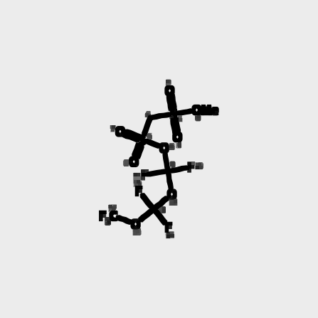 COS(=O)(=O)CS(=O)(=O)OC(F)(F)OC(F)(F)OC(F)(F)F